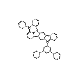 c1ccc(-c2cc(-c3ccccc3)cc(-n3c4ccccc4c4cc5c(cc43)c3cccc4c3n5-c3ccccc3N4c3ccccc3)c2)cc1